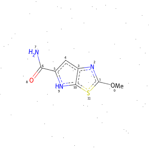 COc1nc2cc(C(N)=O)[nH]c2s1